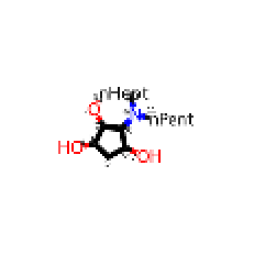 CCCCCCCOC1C(O)CC(O)C1N(C)CCCCC